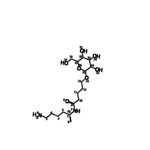 C[C@@H](CCCCN)NC(=O)CCCCOC1OC(CO)C(O)C(O)C1O